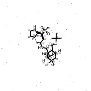 CC(C)(C)OC(=O)N1[C@H]2CC[C@@H]([C@@H]1C(=O)N[C@H](/C=C(\F)S(C)(=O)=O)C[C@@H]1CCNC1=O)C(F)(F)C2